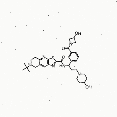 CC(C)(C)[C@H]1CCc2nc3sc(C(=O)NC(CCN4CCC(O)CC4)c4cccc(C(=O)N5CC(O)C5)c4)nc3cc2C1